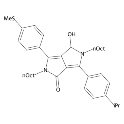 CCCCCCCCN1C(=O)C2=C(c3ccc(C(C)C)cc3)N(CCCCCCCC)C(O)C2=C1c1ccc(SC)cc1